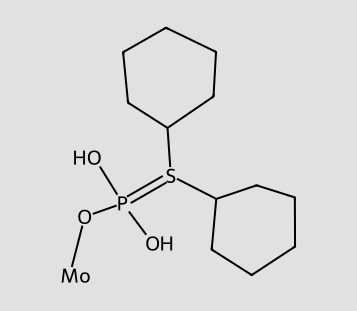 OP(O)([O][Mo])=S(C1CCCCC1)C1CCCCC1